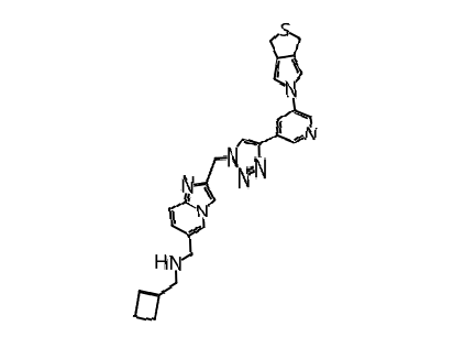 c1cc2nc(Cn3cc(-c4cncc(-n5cc6c(c5)CSC6)c4)nn3)cn2cc1CNCC1CCC1